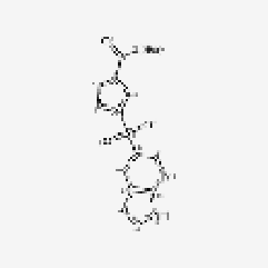 COC(=O)c1ccn(S(=O)(=O)c2cnc3[nH]ccc3c2)c1